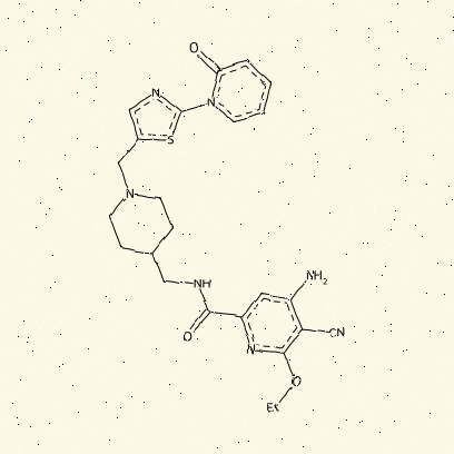 CCOc1nc(C(=O)NCC2CCN(Cc3cnc(-n4ccccc4=O)s3)CC2)cc(N)c1C#N